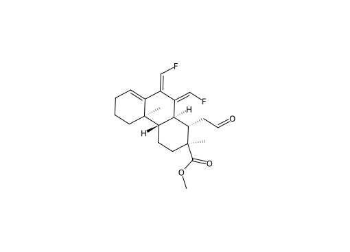 COC(=O)[C@@]1(C)CC[C@H]2[C@@H](C(=C\F)/C(=C\F)C3=CCCC[C@@]32C)[C@@H]1CC=O